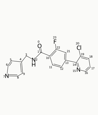 O=C(NCc1ccncc1)c1ccc(-c2ncccc2Cl)cc1F